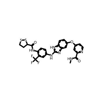 CNC(=O)c1cc(Oc2ccc3[nH]c(Nc4ccc(NC(=O)C5CCSS5)c(C(F)(F)F)c4)nc3c2)ccn1